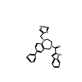 O=C(c1cc2ccccc2[nH]1)N1CCN(Cc2c[nH]cn2)c2ccc(-c3ccccc3)cc2C1